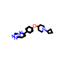 c1cc(-c2ccc3nncn3n2)ccc1OC1CCN(C2CCC2)CC1